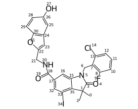 CC1(C)C(=O)N(Cc2c(F)cccc2Cl)c2cc(C(=O)NCc3cc4cc(O)ccc4o3)cc(I)c21